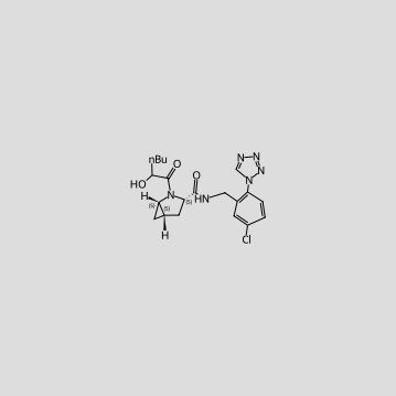 CCCCC(O)C(=O)N1[C@H](C(=O)NCc2cc(Cl)ccc2-n2cnnn2)C[C@@H]2C[C@@H]21